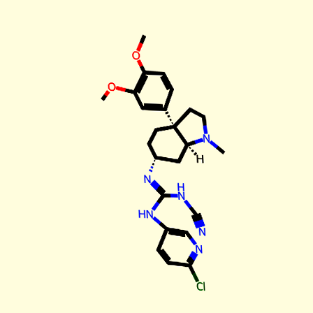 COc1ccc([C@@]23CC[C@@H](/N=C(\NC#N)Nc4ccc(Cl)nc4)C[C@@H]2N(C)CC3)cc1OC